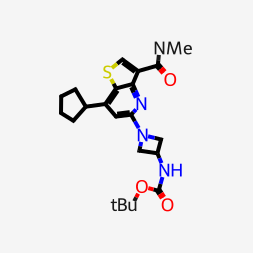 CNC(=O)c1csc2c(C3CCCC3)cc(N3CC(NC(=O)OC(C)(C)C)C3)nc12